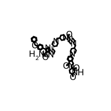 NC(=O)c1c(-c2ccc(Oc3ccccc3)cc2)nn2c1NCC[C@H]2C1CCN(CC2CCN(C(=O)N3CCN(CC4CCN(c5ccc6c(c5)CN(C5CCC(=O)NC5=O)C6=O)CC4)CC3)CC2)CC1